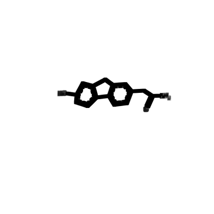 NC(=O)Cc1ccc2c(c1)Cc1cc(O)ccc1-2